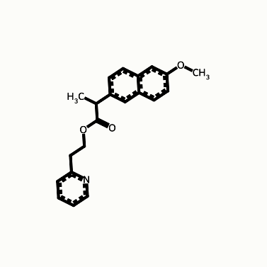 COc1ccc2cc(C(C)C(=O)OCCc3ccccn3)ccc2c1